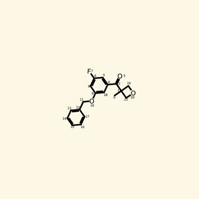 CC1(C(=O)c2cc(F)cc(OCc3ccccc3)c2)COC1